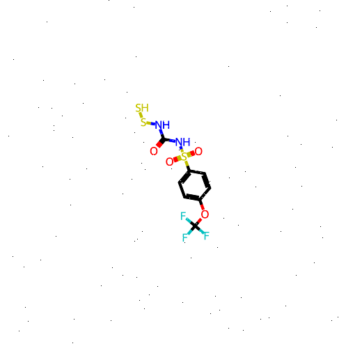 O=C(NSS)NS(=O)(=O)c1ccc(OC(F)(F)F)cc1